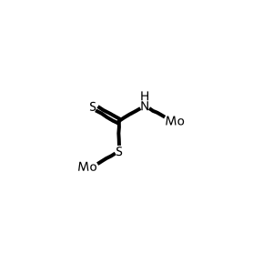 S=C([NH][Mo])[S][Mo]